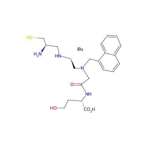 CC[C@H](C)[C@@H](CN(CC(=O)N[C@@H](CCO)C(=O)O)Cc1cccc2ccccc12)NC[C@@H](N)CS